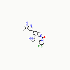 Cc1c[nH]c2ncc(-c3cc4c(c([C@@H]5CCCN5)c3)CN(C(=O)N3CCC(F)(F)CC3)CC4)cc12